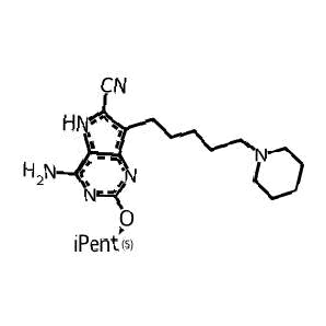 CCC[C@H](C)Oc1nc(N)c2[nH]c(C#N)c(CCCCCN3CCCCC3)c2n1